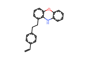 C=Cc1ccc(CCc2cccc3c2Nc2ccccc2O3)cc1